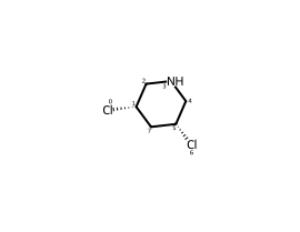 Cl[C@@H]1CNC[C@H](Cl)C1